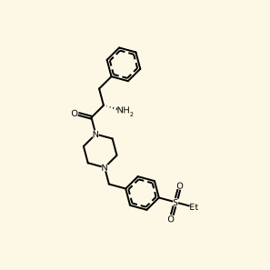 CCS(=O)(=O)c1ccc(CN2CCN(C(=O)[C@@H](N)Cc3ccccc3)CC2)cc1